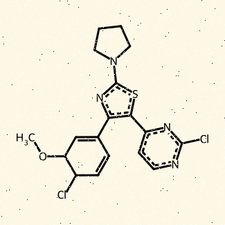 COC1C=C(c2nc(N3CCCC3)sc2-c2ccnc(Cl)n2)C=CC1Cl